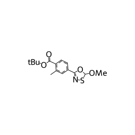 COC1OC(c2ccc(C(=O)OC(C)(C)C)c(C)c2)=NS1